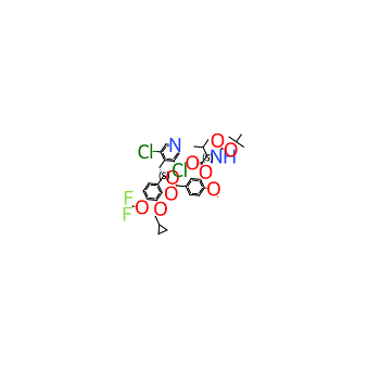 COc1ccc(C(=O)O[C@@H](Cc2c(Cl)cncc2Cl)c2ccc(OC(F)F)c(OCC3CC3)c2)cc1OC(=O)[C@@H](NC(=O)OC(C)(C)C)C(C)C